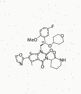 COc1ccc(F)cc1[C@H](Cn1c(=O)n(C2CCCNC2=O)c(=O)c2c(C)c(-c3ncco3)sc21)OC1CCOCC1